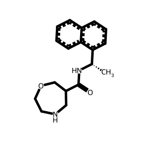 C[C@H](NC(=O)C1CNCCOC1)c1cccc2ccccc12